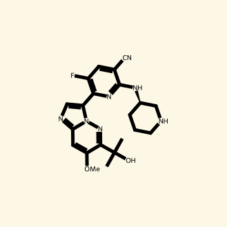 COc1cc2ncc(-c3nc(N[C@@H]4CCCNC4)c(C#N)cc3F)n2nc1C(C)(C)O